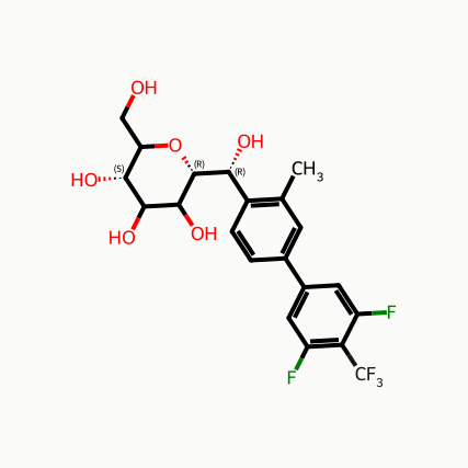 Cc1cc(-c2cc(F)c(C(F)(F)F)c(F)c2)ccc1[C@@H](O)[C@H]1OC(CO)[C@@H](O)C(O)C1O